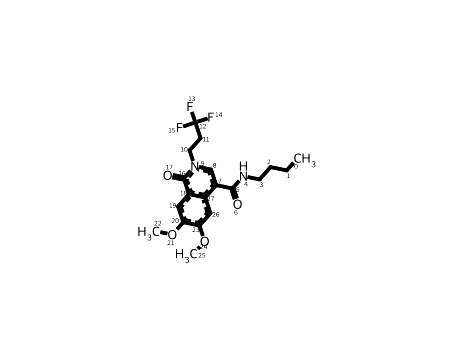 CCCCNC(=O)c1cn(CCC(F)(F)F)c(=O)c2cc(OC)c(OC)cc12